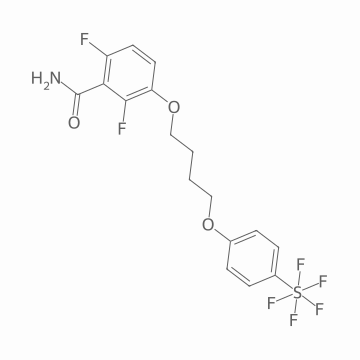 NC(=O)c1c(F)ccc(OCCCCOc2ccc(S(F)(F)(F)(F)F)cc2)c1F